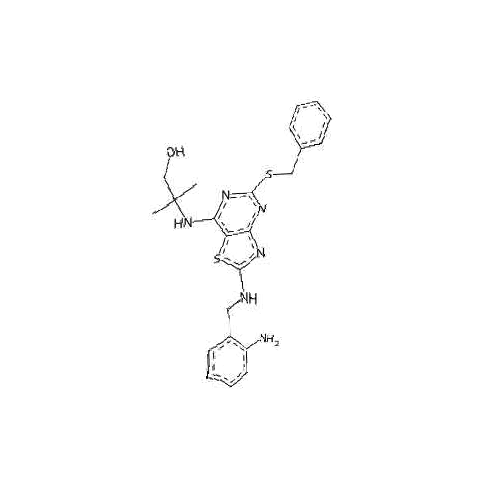 CC(C)(CO)Nc1nc(SCc2ccccc2)nc2nc(NCc3ccccc3N)sc12